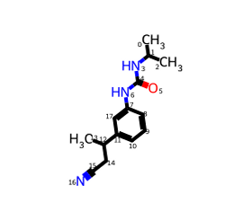 CC(C)NC(=O)Nc1cccc(C(C)CC#N)c1